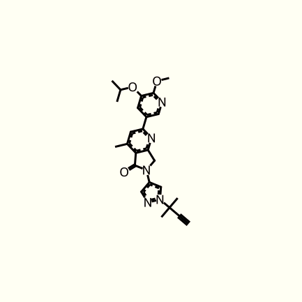 C#CC(C)(C)n1cc(N2Cc3nc(-c4cnc(OC)c(OC(C)C)c4)cc(C)c3C2=O)cn1